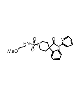 COCCNS(=O)(=O)N1CCC(C(=O)Nc2ccccn2)(c2ccccc2)CC1